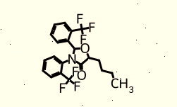 CCCCC1OC(c2ccccc2C(F)(F)F)N(c2ccccc2C(F)(F)F)C1=O